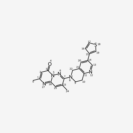 Cc1cc(=O)n2nc(N3CCc4ncc(-c5ccsc5)cc4C3)c(C)cc2n1